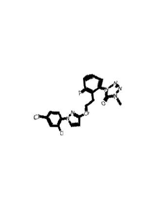 Cn1nnn(-c2cccc(F)c2CCOc2ccn(-c3ccc(Cl)cc3Cl)n2)c1=O